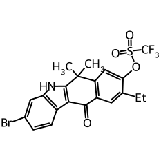 CCc1cc2c(cc1OS(=O)(=O)C(F)(F)F)C(C)(C)c1[nH]c3cc(Br)ccc3c1C2=O